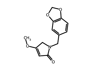 COC1=CC(=O)N(Cc2ccc3c(c2)OCO3)C1